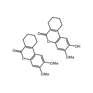 COc1cc2oc(=O)c3c(c2cc1O)CCCC3.COc1cc2oc(=O)c3c(c2cc1OC)CCCC3